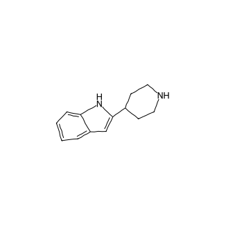 c1ccc2[nH]c(C3CCNCC3)cc2c1